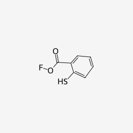 O=C(OF)c1ccccc1S